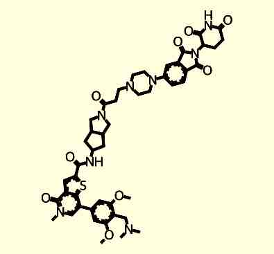 COc1cc(-c2cn(C)c(=O)c3cc(C(=O)NC4CC5CN(C(=O)CCN6CCN(c7ccc8c(c7)C(=O)N(C7CCC(=O)NC7=O)C8=O)CC6)CC5C4)sc23)cc(OC)c1CN(C)C